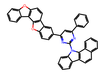 c1ccc(-c2cc(-c3ccc4oc5c(ccc6oc7ccccc7c65)c4c3)nc(-n3c4ccccc4c4ccc5ccccc5c43)n2)cc1